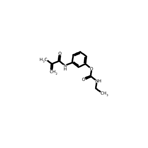 C=C(C)C(=O)Nc1cccc(OC(=O)NCC)c1